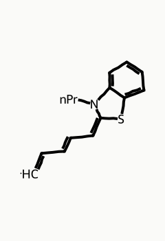 [CH]=CC=CC=C1Sc2ccccc2N1CCC